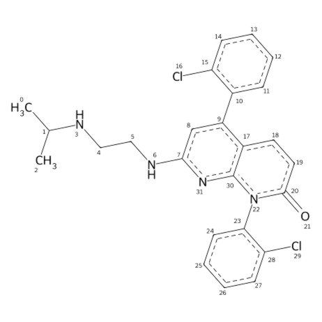 CC(C)NCCNc1cc(-c2ccccc2Cl)c2ccc(=O)n(-c3ccccc3Cl)c2n1